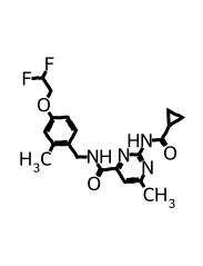 Cc1cc(C(=O)NCc2ccc(OCC(F)F)cc2C)nc(NC(=O)C2CC2)n1